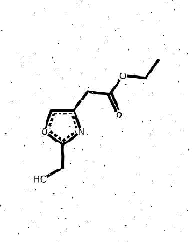 CCOC(=O)Cc1coc(CO)n1